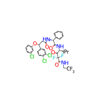 CC(C)[C@H](NC(=O)[C@@H](NC(=O)CC(Oc1cccc(Cl)c1)c1ccc(Cl)c(Cl)c1)c1ccccc1)C(=O)C(F)(F)C(=O)NCC(F)(F)F